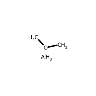 COC.[AlH3]